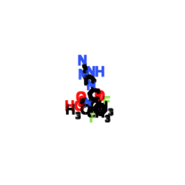 CC(C)(C)N(C(=O)O)[C@H]1C[C@@H](N2Cc3nc(C#N)[nH]c3C2)CO[C@@H]1c1cc(F)ccc1F